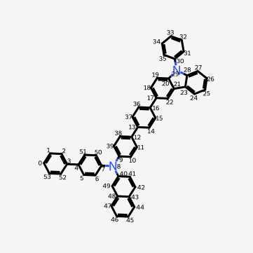 c1ccc(-c2ccc(N(c3ccc(-c4ccc(-c5ccc6c(c5)c5ccccc5n6-c5ccccc5)cc4)cc3)c3ccc4ccccc4c3)cc2)cc1